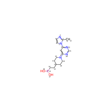 Cc1nccn1-c1cc(N2CCC(CCP(O)O)CC2)ncn1